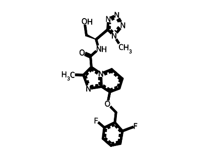 Cc1nc2c(OCc3c(F)cccc3F)cccn2c1C(=O)N[C@@H](CO)c1nnnn1C